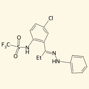 CC/C(=N\Nc1ccccc1)c1cc(Cl)ccc1NS(=O)(=O)C(F)(F)F